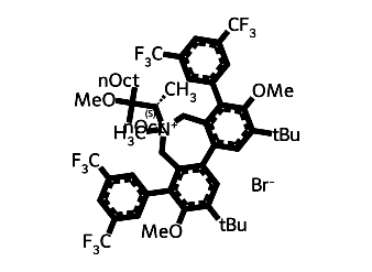 CCCCCCCCC(CCCCCCCC)(OC)[C@H](C)[N+]1(C)Cc2c(cc(C(C)(C)C)c(OC)c2-c2cc(C(F)(F)F)cc(C(F)(F)F)c2)-c2cc(C(C)(C)C)c(OC)c(-c3cc(C(F)(F)F)cc(C(F)(F)F)c3)c2C1.[Br-]